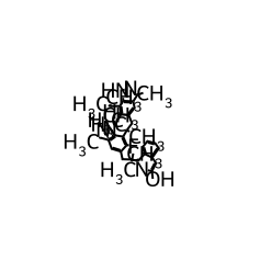 Cc1c(CC(C)(C)c2c(F)c(CC(C)(C)c3nc(O)cc4ccccc34)cc3c(C)n[nH]c23)cc2c(C)n[nH]c2c1C(C)(C)C